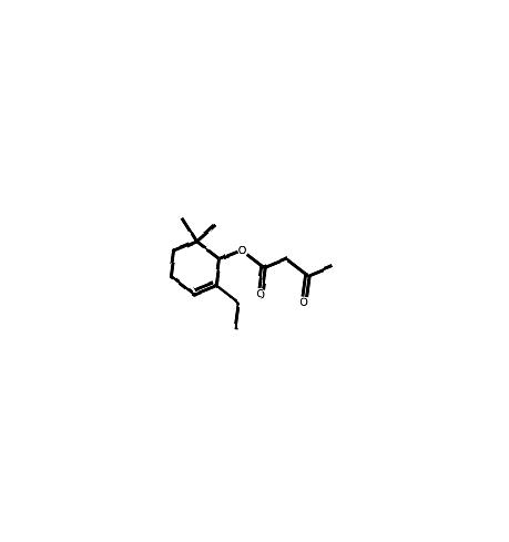 CCC1=CCCC(C)(C)C1OC(=O)CC(C)=O